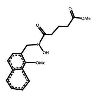 COC(=O)CCCC(=O)N(O)Cc1ccc2ccccc2c1OC